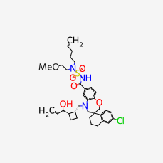 C=CCCCN(CCOC)S(=O)(=O)NC(=O)c1ccc2c(c1)N(C[C@@H]1CC[C@H]1C(O)C=C)C[C@@]1(CCCc3cc(Cl)ccc31)CO2